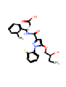 CCC(O)COc1cc(C(=O)N[C@@H](CC(=O)O)c2ccccc2C)nn1-c1ccccc1F